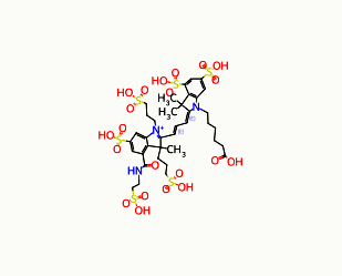 CC1(CCCS(=O)(=O)O)C(/C=C/C=C2/N(CCCCCC(=O)O)c3cc(S(=O)(=O)O)cc(S(=O)(=O)O)c3C2(C)C)=[N+](CCCS(=O)(=O)O)c2cc(S(=O)(=O)O)cc(C(=O)NCCS(=O)(=O)O)c21